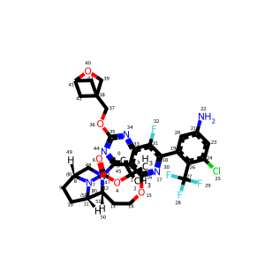 CC(C)(C)OC(=O)N1[C@@H]2CC[C@H]1[C@H]1CCOc3nc(-c4cc(N)cc(Cl)c4C(F)(F)F)c(F)c4nc(OCC56COC(C5)C6)nc(c34)N1C2